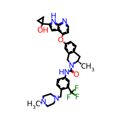 C[C@@H]1Cc2ccc(Oc3ccnc4[nH]c(C5(O)CC5)cc34)cc2CN1C(=O)Nc1ccc(CN2CCN(C)CC2)c(C(F)(F)F)c1